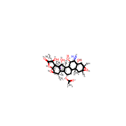 CC(=O)O[C@H]1CC2C([C@@H](O)[C@@H](N)[C@@]3(O)C[C@@H]4O[C@@H]4C[C@]23C)[C@@H]2[C@@H](O)[C@]3(I)[C@H]([C@H](C)[C@H]4O[C@]45OC(=O)[C@@](C)(O)[C@@]53C)[C@@]12C